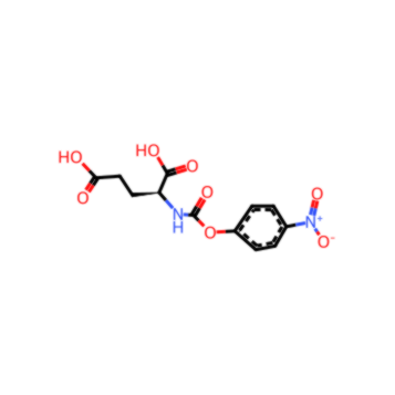 O=C(O)CC[C@H](NC(=O)Oc1ccc([N+](=O)[O-])cc1)C(=O)O